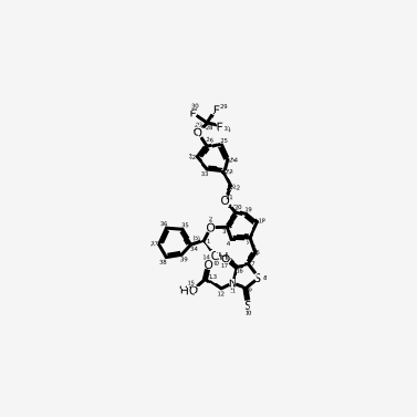 C[C@H](Oc1cc(C=C2SC(=S)N(CC(=O)O)C2=O)ccc1OCc1ccc(OC(F)(F)F)cc1)c1ccccc1